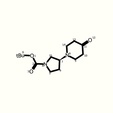 CC(C)(C)OC(=O)N1CC[C@H](N2CCC(=O)CC2)C1